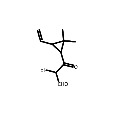 C=CC1C(C(=O)C(C=O)CC)C1(C)C